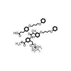 COC(=O)c1ccc(NC(=O)C(C)c2cccc(OCCCCOc3ccccc3)c2)c(CC(=O)OC(C)(C)C)c1.O=C(O)CCc1ccc(OCCCCOc2ccccc2)cc1